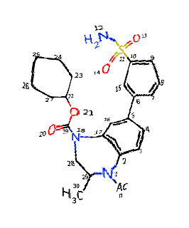 CC(=O)N1c2ccc(-c3cccc(S(N)(=O)=O)c3)cc2N(C(=O)OC2CCCCC2)CC1C